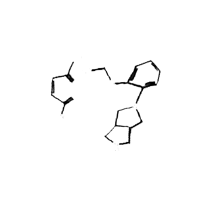 CCOc1ccccc1N1CC2CNCC2C1.O=C(O)/C=C\C(=O)O